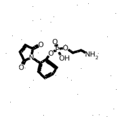 NCCOP(=O)(O)Oc1ccccc1N1C(=O)C=CC1=O